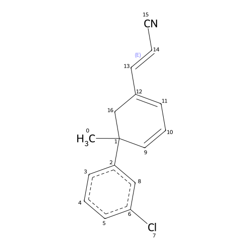 CC1(c2cccc(Cl)c2)C=CC=C(/C=C/C#N)C1